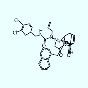 C=CCN(C(=O)NCC1C=CC(Cl)=C(Cl)C1)N1CC(=O)N2[C@@H]3C(=O)N(Cc4cccc5ccccc45)C[C@@]21C1C=CC3=CC1